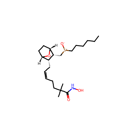 CCCCCC[S+]([O-])C[C@@H]1[C@H](C/C=C\CCC(C)(C)C(=O)NO)[C@@H]2CC[C@H]1O2